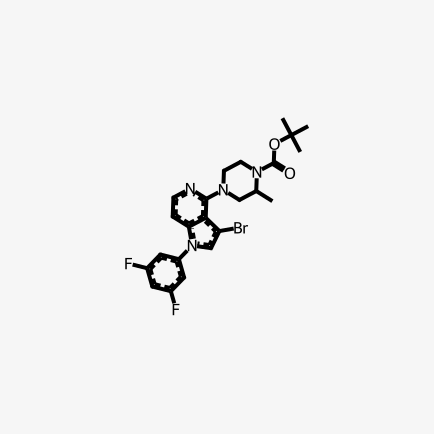 CC1CN(c2nccc3c2c(Br)cn3-c2cc(F)cc(F)c2)CCN1C(=O)OC(C)(C)C